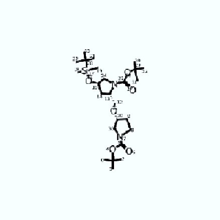 CC(C)(C)OC(=O)N1CC[C@@H](OC[C@@H]2C[C@@H](O[Si](C)(C)C(C)(C)C)CN2C(=O)OC(C)(C)C)C1